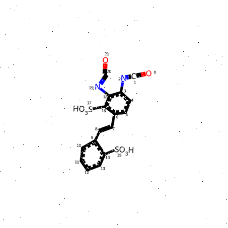 O=C=Nc1ccc(C=Cc2ccccc2S(=O)(=O)O)c(S(=O)(=O)O)c1N=C=O